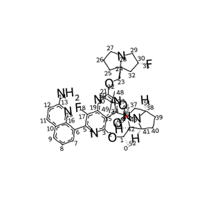 C[C@@H]1Oc2nc(-c3cccc4ccc(N)nc34)c(F)c3nc(OC[C@@]45CCCN4C[C@H](F)C5)nc(c23)N2C[C@H]3CC[C@@H]([C@@H]12)N3C(=O)OC(C)(C)C